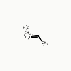 C.C=CC.O